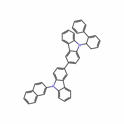 C1=CCC(n2c3ccccc3c3cc(-c4ccc5c(c4)c4ccccc4n5-c4ccc5ccccc5c4)ccc32)C(c2ccccc2)=C1